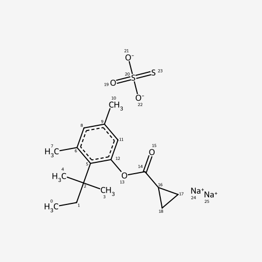 CCC(C)(C)c1c(C)cc(C)cc1OC(=O)C1CC1.O=S([O-])([O-])=S.[Na+].[Na+]